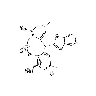 Cc1cc2c(c(C(C)(C)C)c1)[O][Ti+2][O]c1c(cc(C)cc1C(C)(C)C)C2c1cc2ccccc2s1.[Cl-].[Cl-]